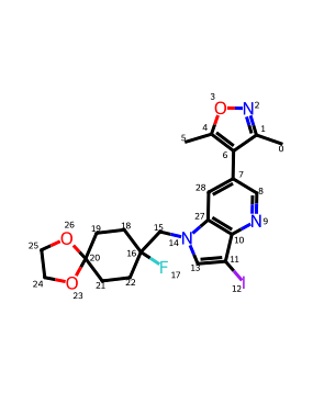 Cc1noc(C)c1-c1cnc2c(I)cn(CC3(F)CCC4(CC3)OCCO4)c2c1